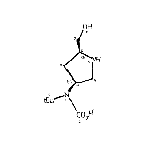 CC(C)(C)N(C(=O)O)[C@@H]1CN[C@H](CO)C1